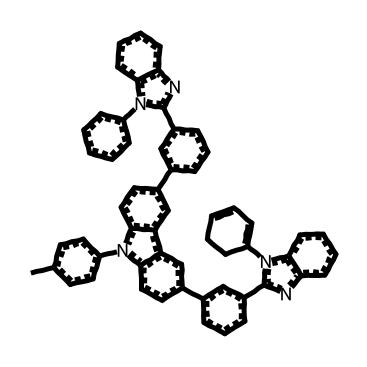 Cc1ccc(-n2c3ccc(-c4cccc(-c5nc6ccccc6n5C5=CC=CCC5)c4)cc3c3cc(-c4cccc(-c5nc6ccccc6n5-c5ccccc5)c4)ccc32)cc1